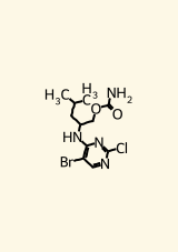 CC(C)CC(COC(N)=O)Nc1nc(Cl)ncc1Br